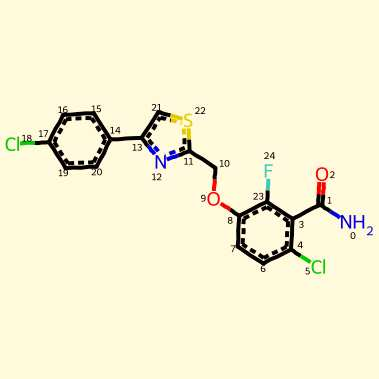 NC(=O)c1c(Cl)ccc(OCc2nc(-c3ccc(Cl)cc3)cs2)c1F